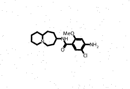 COc1cc(N)c(Cl)cc1C(=O)NC1CCC2CCCCN2CC1